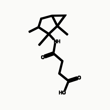 CC1CC2CC2(C)C1(C)NC(=O)CCC(=O)O